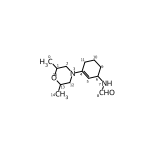 CC1CN(C2=CC(NC=O)CCC2)CC(C)O1